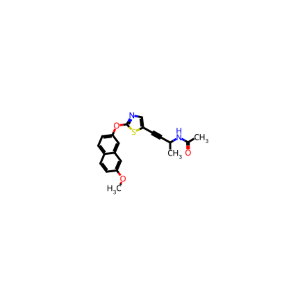 COc1ccc2ccc(Oc3ncc(C#CC(C)NC(C)=O)s3)cc2c1